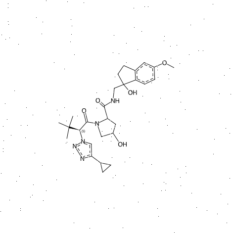 COc1ccc2c(c1)CCC2(O)CNC(=O)C1CC(O)CN1C(=O)[C@@H](n1cc(C2CC2)nn1)C(C)(C)C